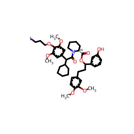 COc1ccc(CCC(OC(=O)[C@H]2CCCCN2C(=O)C(c2cc(OC)c(OCCCI)c(OC)c2)C2CCCCC2)c2cccc(O)c2)cc1OC